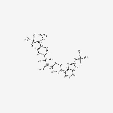 CCN(c1ccc(C(F)(F)C(=O)N2CCN(c3ncnc4sc(CC(F)(F)F)cc34)CC2)cc1)S(C)(=O)=O